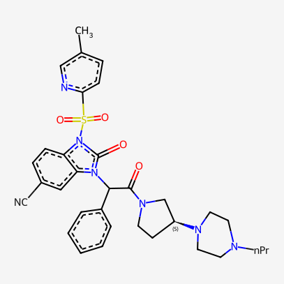 CCCN1CCN([C@H]2CCN(C(=O)C(c3ccccc3)n3c(=O)n(S(=O)(=O)c4ccc(C)cn4)c4ccc(C#N)cc43)C2)CC1